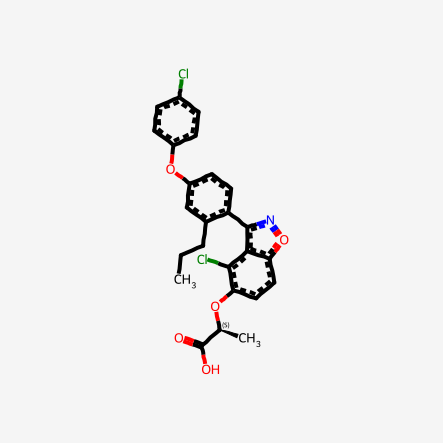 CCCc1cc(Oc2ccc(Cl)cc2)ccc1-c1noc2ccc(O[C@@H](C)C(=O)O)c(Cl)c12